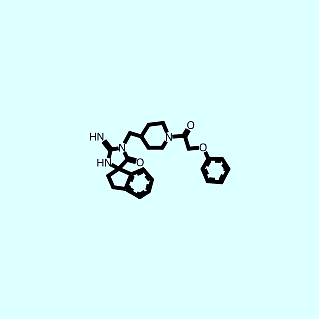 N=C1NC2(CCc3ccccc32)C(=O)N1CC1CCN(C(=O)COc2ccccc2)CC1